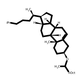 CCCCCCCCC(C)O[C@H]1CC[C@@]2(C)C(=CC[C@H]3[C@H]4CC[C@H]([C@H](C)CCCC(C)C)[C@H]4CC[C@H]32)C1